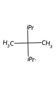 C[C](C)C(C)(C)C(C)C